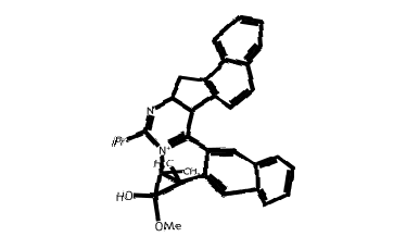 COC1(O)C2(C)c3cc4ccccc4cc3C3=[N+](C(C(C)C)=NC4Cc5c(ccc6ccccc56)C34)C12C